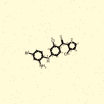 Nc1cc(Br)ccc1Nc1ccc(C(=S)c2sccc2Cl)c(Cl)c1